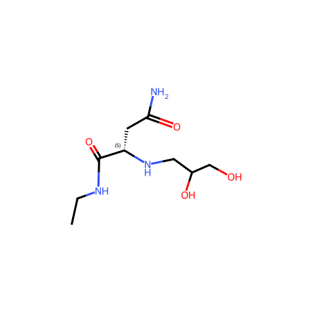 CCNC(=O)[C@H](CC(N)=O)NCC(O)CO